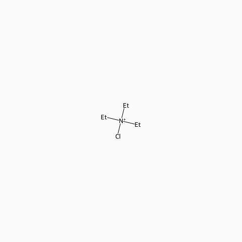 CC[N+](Cl)(CC)CC